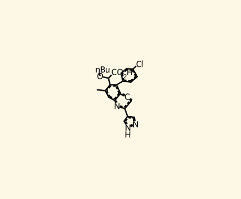 CCCCOC(C(=O)O)c1c(C)cc2nc(-c3cn[nH]c3)ccc2c1-c1ccc(Cl)cc1